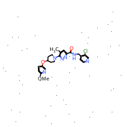 COc1ccc(OC2CCN(c3nnc(C(=O)NCc4ccncc4Cl)cc3C)CC2)cn1